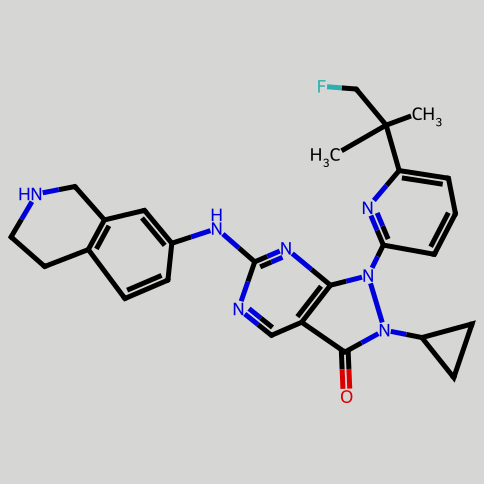 CC(C)(CF)c1cccc(-n2c3nc(Nc4ccc5c(c4)CNCC5)ncc3c(=O)n2C2CC2)n1